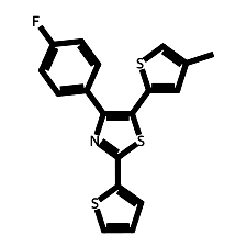 Cc1csc(-c2sc(-c3cccs3)nc2-c2ccc(F)cc2)c1